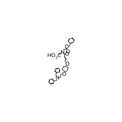 O=C(O)CN(CC(=O)OCc1ccccc1)C(=O)/C=C/COC1CCC(OCCN(Cc2ccccc2)Cc2ccccc2)CC1